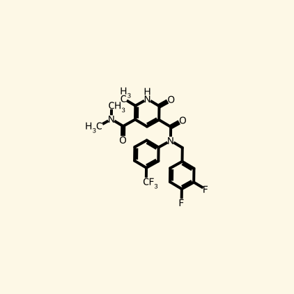 Cc1[nH]c(=O)c(C(=O)N(Cc2ccc(F)c(F)c2)c2cccc(C(F)(F)F)c2)cc1C(=O)N(C)C